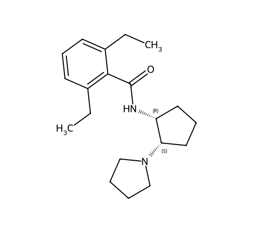 CCc1cccc(CC)c1C(=O)N[C@@H]1CCC[C@@H]1N1CCCC1